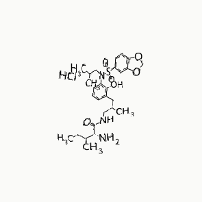 CC[C@H](C)[C@@H](N)C(=O)NCC(C)Cc1cccc(N(CC(C)C)S(=O)(=O)c2ccc3c(c2)OCO3)c1O.Cl